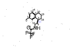 Cc1cc(C)c2c(c1)/C(=C\CNC(=O)C(F)(F)F)CCC2